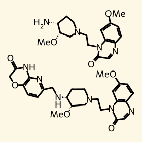 COc1ccc2ncc(=O)n(CCN3CC[C@@H](N)[C@@H](OC)C3)c2c1.COc1ccc2ncc(=O)n(CCN3CC[C@@H](NCc4ccc5c(n4)NC(=O)CO5)[C@@H](OC)C3)c2c1